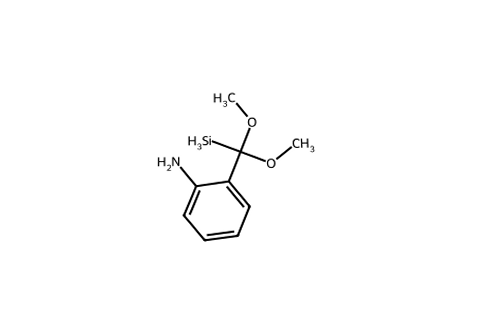 COC([SiH3])(OC)c1ccccc1N